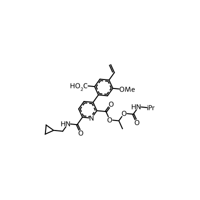 C=Cc1cc(C(=O)O)c(-c2ccc(C(=O)NCC3CC3)nc2C(=O)OC(C)OC(=O)NC(C)C)cc1OC